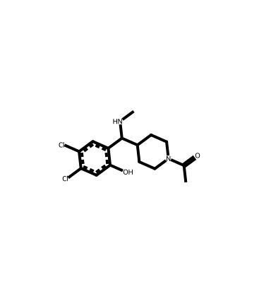 CNC(c1cc(Cl)c(Cl)cc1O)C1CCN(C(C)=O)CC1